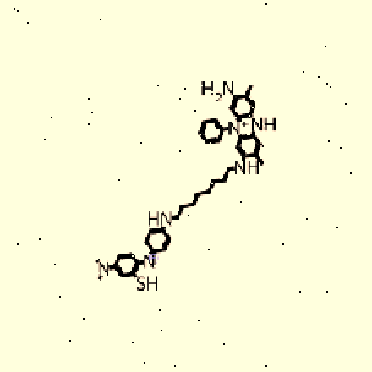 CC1=CC2Nc3cc(C)c(NCCCCCCCCNC4=CC/C(=N\c5ccc(N(C)C)cc5S)C=C4)cc3[N+](c3ccccc3)=C2C=C1N